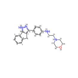 c1ccc2c(c1)Cc1c(-c3ccc(NCCN4CCOCC4)cc3)n[nH]c1-2